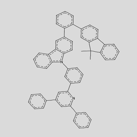 CC1(C)c2ccccc2-c2ccc(-c3ccccc3-c3ccc4c(c3)c3ccccc3n4-c3cccc(-c4cc(-c5ccccc5)cc(-c5ccccc5)n4)c3)cc21